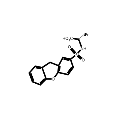 CC(C)[C@H](NS(=O)(=O)c1ccc2c(c1)Cc1ccccc1O2)C(=O)O